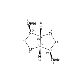 CO[C@@H]1CO[C@@H]2[C@H]1OC[C@H]2OC